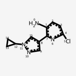 Nc1ccc(Cl)nc1-c1cnn(C2CC2)c1